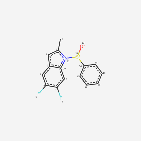 Cc1cc2cc(F)c(F)cc2n1[S+]([O-])c1ccccc1